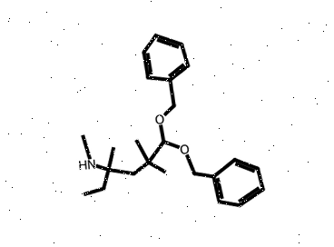 CCC(C)(CC(C)(C)C(OCc1ccccc1)OCc1ccccc1)NC